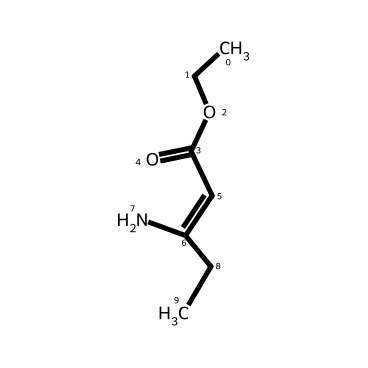 CCOC(=O)/C=C(\N)CC